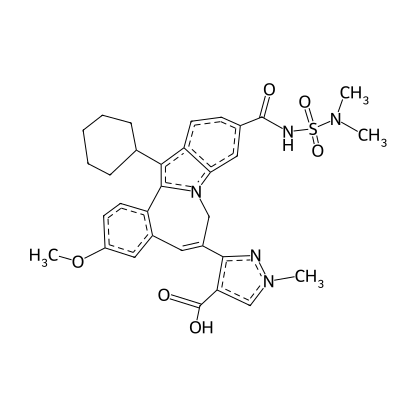 COc1ccc2c(c1)C=C(c1nn(C)cc1C(=O)O)Cn1c-2c(C2CCCCC2)c2ccc(C(=O)NS(=O)(=O)N(C)C)cc21